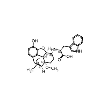 CO[C@@]12CC[C@@H](N[C@@H](Cc3c[nH]c4ccccc34)C(=O)O)[C@@H]3Oc4c(O)ccc5c4[C@@]31CCN(C)[C@@H]2C5